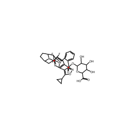 O=C(OC1OC(C(=O)O)C(O)C(O)C1O)c1ccc(N2C3CCC2CC(OCc2c(-c4ccccc4OC(F)(F)F)noc2C2CC2)C3)nc1